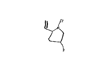 C=CC1CC(F)CN1CC